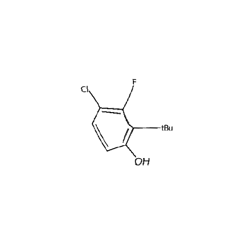 CC(C)(C)c1c(O)ccc(Cl)c1F